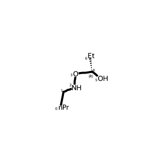 CCCCNO[C@@H](O)CC